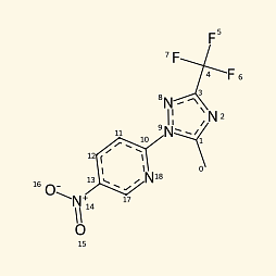 Cc1nc(C(F)(F)F)nn1-c1ccc([N+](=O)[O-])cn1